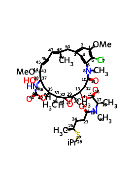 COc1cc2cc(c1Cl)N(C)C(=O)C[C@H](OC(=O)[C@@H](C)N(C)C(=O)CCC(C)SC(C)C)[C@]1(C)O[C@H]1[C@H](C)[C@@H]1C[C@@](O)(NC(=O)O1)[C@H](OC)/C=C/C=C(\C)C2